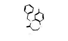 N[C@H]1CNc2ccc(F)cc2N(Cc2ccccc2)C1=O